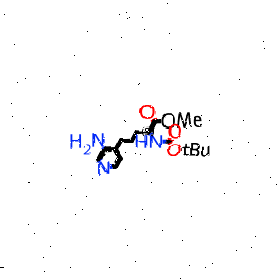 COC(=O)[C@H](CCCc1ccncc1N)NC(=O)OC(C)(C)C